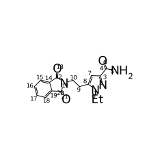 CCn1nc(C(N)=O)cc1CCN1C(=O)c2ccccc2C1=O